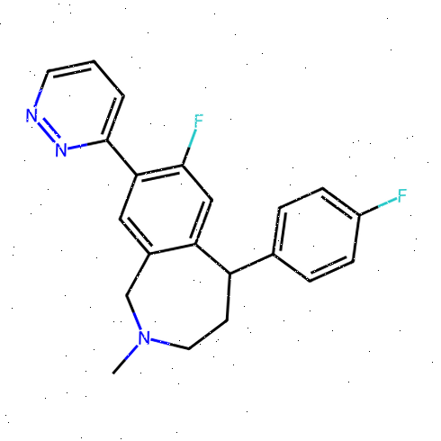 CN1CCC(c2ccc(F)cc2)c2cc(F)c(-c3cccnn3)cc2C1